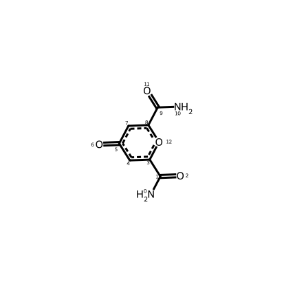 NC(=O)c1cc(=O)cc(C(N)=O)o1